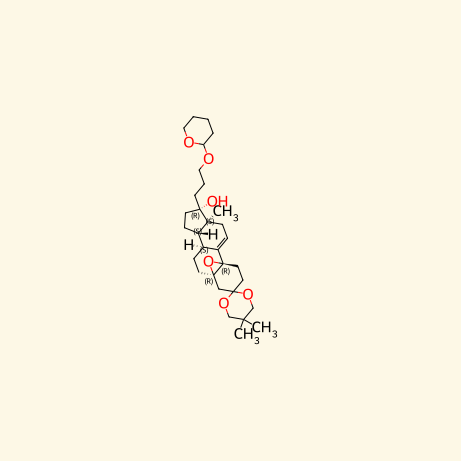 CC1(C)COC2(CC[C@]34O[C@]3(CC[C@@H]3C4=CC[C@@]4(C)[C@H]3CC[C@@]4(O)CCCOC3CCCCO3)C2)OC1